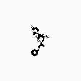 O=C(COc1ccccc1)N1C[C@]2(CO)O[C@@H](n3ccc(=O)[nH]c3=O)[C@H](O1)[C@@H]2O